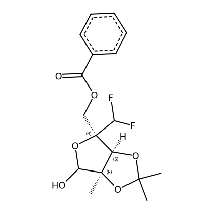 CC1(C)O[C@H]2[C@@](C)(O1)C(O)O[C@@]2(COC(=O)c1ccccc1)C(F)F